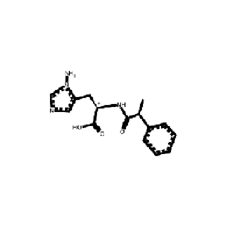 CC(C(=O)N[C@H](Cc1cncn1N)C(=O)O)c1ccccc1